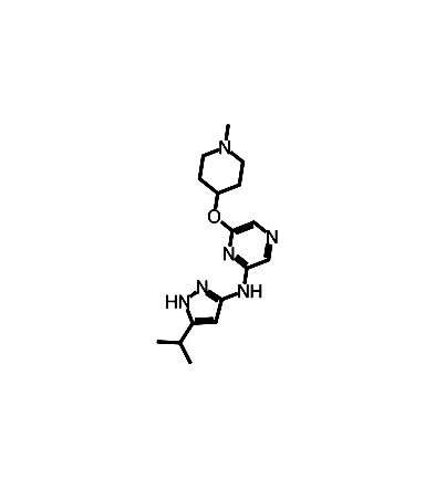 CC(C)c1cc(Nc2cncc(OC3CCN(C)CC3)n2)n[nH]1